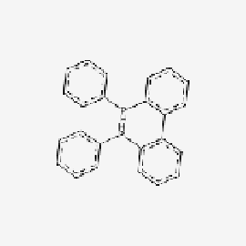 c1ccc(Pc2ccccc2-c2ccccc2Pc2ccccc2)cc1